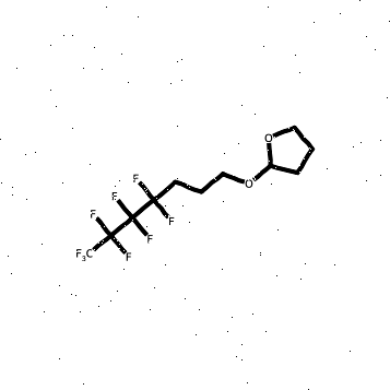 FC(F)(F)C(F)(F)C(F)(F)C(F)(F)CCCOC1CCCO1